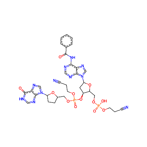 N#CCCOP(=O)(O)OCC1OC(n2cnc3c(NC(=O)c4ccccc4)ncnc32)C[C@@H]1OP(=O)(OCCC#N)OCC1CCC(n2cnc3c(=O)[nH]cnc32)O1